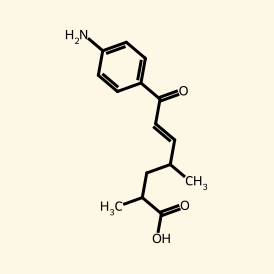 CC(C=CC(=O)c1ccc(N)cc1)CC(C)C(=O)O